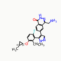 C[C@H]1C[C@@H]1Oc1ccc(F)c(-c2c(-c3ccc4c(=O)[nH]nc(CN)c4c3)cnn2C)c1C#N